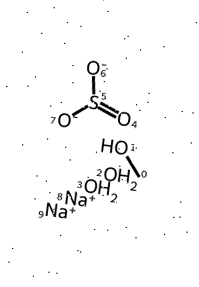 CO.O.O.O=S([O-])[O-].[Na+].[Na+]